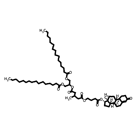 CCCCCCCCCCCCCCCC(=O)OCC(COC(=O)CCCCCCCCCCCCCCC)OC(=O)CC(C)CC(=O)OCCCC(=O)O[C@H]1CC[C@H]2[C@@H]3CCC4=CC(=O)CC[C@]4(C)[C@H]3CC[C@]12C